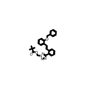 CC(C)(C)C(=O)OCn1nnc(-c2ccccc2C=Cc2ccccc2OCc2ccccc2)n1